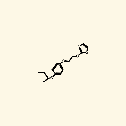 CCC(C)Sc1ccc(OCCOc2nccs2)cc1